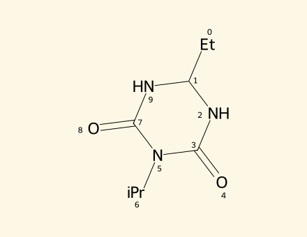 CCC1NC(=O)N(C(C)C)C(=O)N1